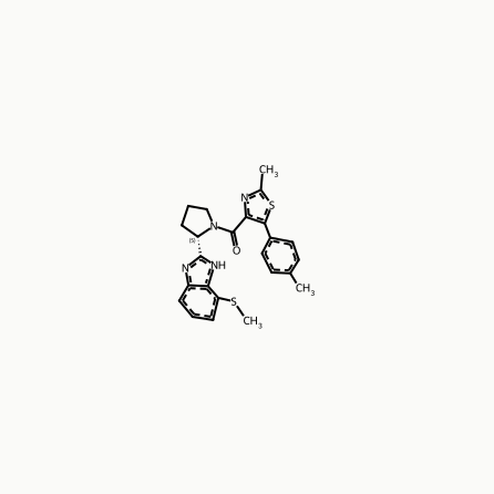 CSc1cccc2nc([C@@H]3CCCN3C(=O)c3nc(C)sc3-c3ccc(C)cc3)[nH]c12